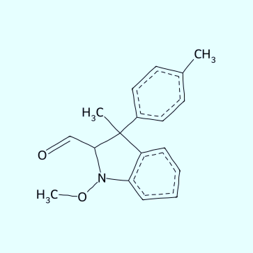 CON1c2ccccc2C(C)(c2ccc(C)cc2)C1C=O